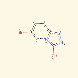 Oc1ncc2ccc(Br)cn12